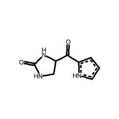 O=C1NCC(C(=O)c2ccc[nH]2)N1